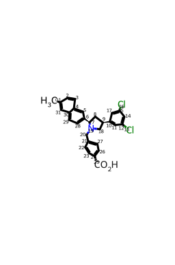 Cc1ccc2cc([C@H]3C[C@@H](c4cc(Cl)cc(Cl)c4)CN3Cc3ccc(C(=O)O)cc3)ccc2c1